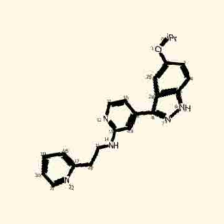 CC(C)Oc1ccc2[nH]nc(-c3ccnc(NCCc4ccccn4)c3)c2c1